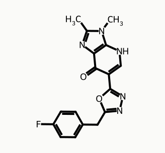 Cc1nc2c(=O)c(-c3nnc(Cc4ccc(F)cc4)o3)c[nH]c2n1C